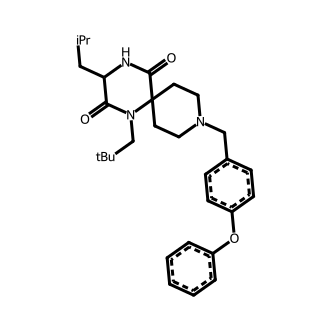 CC(C)CC1NC(=O)C2(CCN(Cc3ccc(Oc4ccccc4)cc3)CC2)N(CC(C)(C)C)C1=O